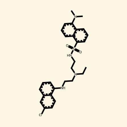 CCN(CCNc1cccc2cc(Cl)ccc12)CCNS(=O)(=O)c1cccc2c(N(C)C)cccc12